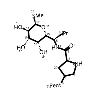 CCCCCC1CNC(C(=O)N[C@H](C(C)C)[C@H]2O[C@H](SC)[C@H](O)[C@@H](O)[C@H]2O)C1